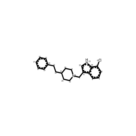 Clc1cccc2c(CN3CCC(CCc4ccccc4)CC3)c[nH]c12